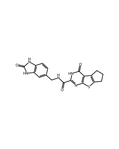 O=C(NCc1ccc2[nH]c(=O)[nH]c2c1)c1nc2sc3c(c2c(=O)[nH]1)CCC3